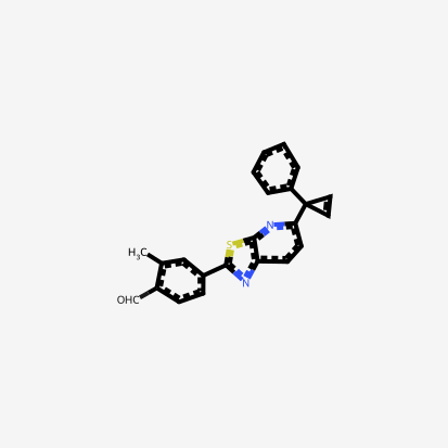 Cc1cc(-c2nc3ccc(C4(c5ccccc5)C=C4)nc3s2)ccc1C=O